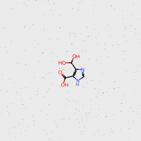 O=C(O)c1[nH]cnc1C(O)O